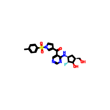 Cc1ccc(S(=O)(=O)n2ccc(C(=O)c3cncnc3N[C@@H]3C[C@H](CO)[C@@H](O)[C@@H]3F)c2)cc1